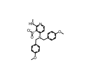 CNc1nccc(N(Cc2ccc(OC)cc2)Cc2ccc(OC)cc2)c1[N+](=O)[O-]